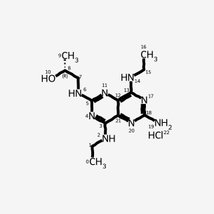 CCNc1nc(NC[C@@H](C)O)nc2c(NCC)nc(N)nc12.Cl